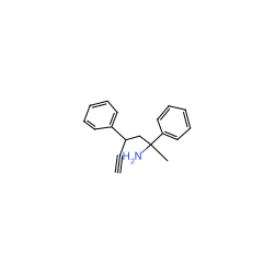 C#CC(CC(C)(N)c1ccccc1)c1ccccc1